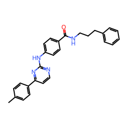 Cc1ccc(-c2ccnc(Nc3ccc(C(=O)NCCCc4ccccc4)cc3)n2)cc1